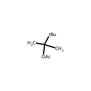 CC(=O)OC(C)(C)C(C)(C)C